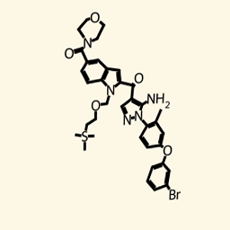 Cc1cc(Oc2cccc(Br)c2)ccc1-n1ncc(C(=O)c2cc3cc(C(=O)N4CCOCC4)ccc3n2COCCS(C)(C)C)c1N